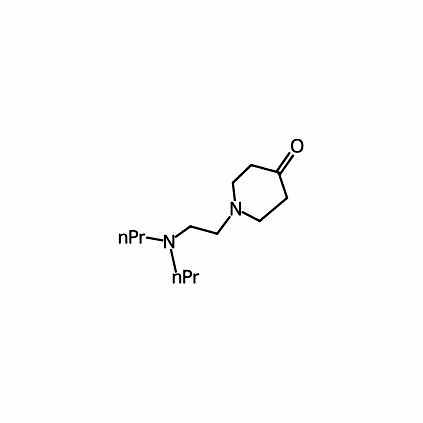 CCCN(CCC)CCN1CCC(=O)CC1